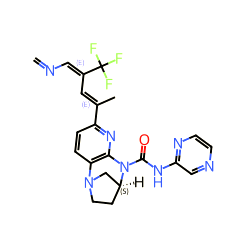 C=N/C=C(\C=C(/C)c1ccc2c(n1)N(C(=O)Nc1cnccn1)[C@H]1CCN2C1)C(F)(F)F